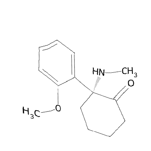 CN[C@@]1(c2ccccc2OC)CCCCC1=O